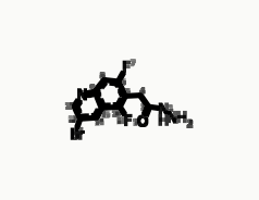 NNC(=O)Cc1c(F)cc2ncc(Br)cc2c1F